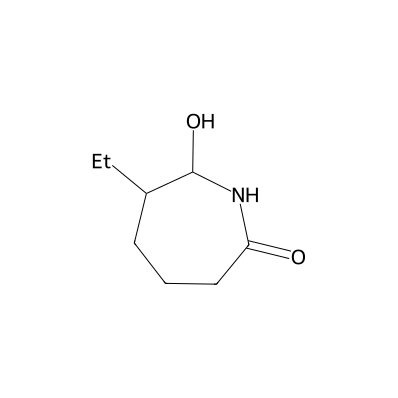 CCC1CCCC(=O)NC1O